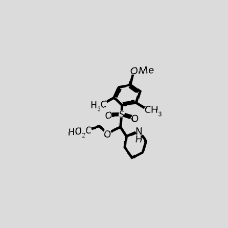 COc1cc(C)c(S(=O)(=O)C(OCC(=O)O)C2CCCCN2)c(C)c1